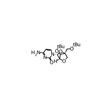 CC(C)(C)OC[C@@]12CO[C@@H](C1OC(C)(C)C)[C@H](n1ccc(N)nc1=O)O2